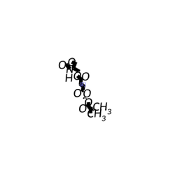 CC(C)C(=O)OCOC(=O)/C=C/C(=O)OCC1COC(=O)N1